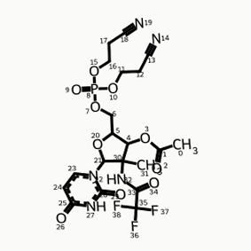 CC(=O)OC1C(COP(=O)(OCCC#N)OCCC#N)OC(n2ccc(=O)[nH]c2=O)C1(C)NC(=O)C(F)(F)F